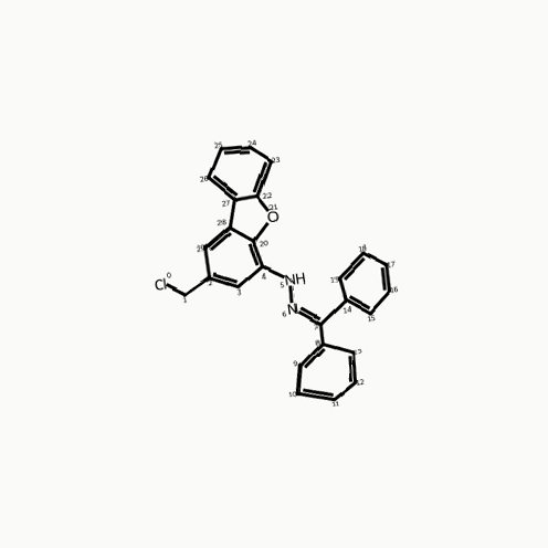 ClCc1cc(NN=C(c2ccccc2)c2ccccc2)c2oc3ccccc3c2c1